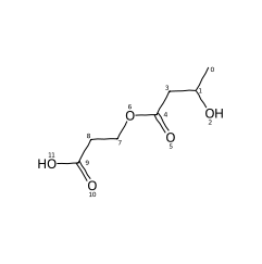 CC(O)CC(=O)OCCC(=O)O